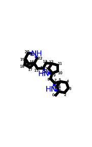 CC12CCCC(C1)C(CC13CCC(CC(CC45CCC(CNC4)C5)N1)C3)N2